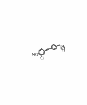 Oc1ccc(C#Cc2ccc(Cn3ccnc3)cc2)cc1Cl